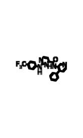 O=C(Nc1cnccc1-c1ccccc1)c1ccnc(Nc2ccc(C(F)(F)F)cc2)n1